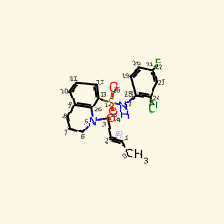 C/C=C/C(=O)N1CCCc2cccc(S(=O)(=O)Nc3ccc(F)cc3Cl)c21